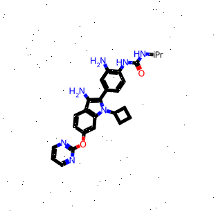 CC(C)NC(=O)Nc1ccc(-c2c(N)c3ccc(Oc4ncccn4)cc3n2C2CCC2)cc1N